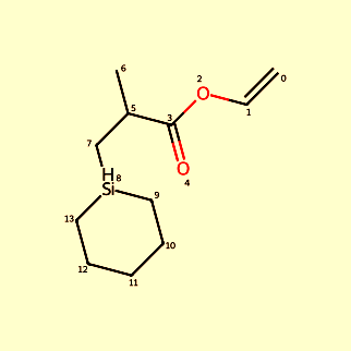 C=COC(=O)C(C)C[SiH]1CCCCC1